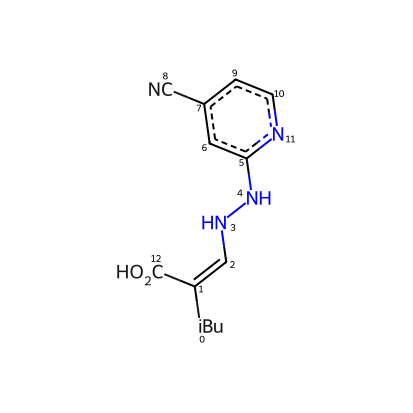 CCC(C)C(=CNNc1cc(C#N)ccn1)C(=O)O